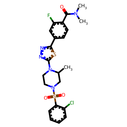 CC1CN(S(=O)(=O)c2ccccc2Cl)CCN1c1nnc(-c2ccc(C(=O)N(C)C)c(F)c2)s1